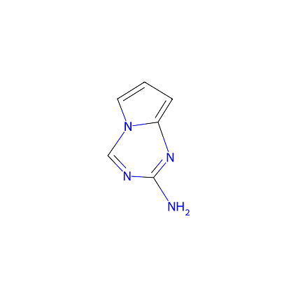 Nc1ncn2cccc2n1